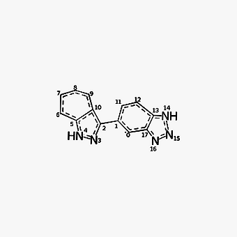 [c]1c(-c2n[nH]c3ccccc23)ccc2[nH]nnc12